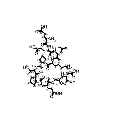 CC(C)C[C@H](NC(=O)[C@H](CCC(=O)O)NC(=O)[C@@H](N)CCC(=O)O)C(=O)N[C@@H](CCCCN)C(=O)N1CCC[C@H]1C(=O)N[C@H](C(=O)N1CCC[C@H]1C(=O)N[C@@H](CCC(=O)O)C(=O)NCC(=O)N[C@@H](CC(=O)O)C(=O)O)[C@@H](C)O